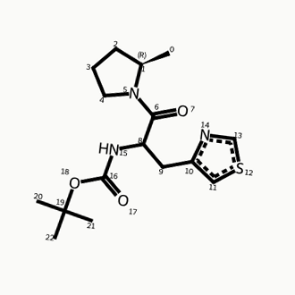 C[C@@H]1CCCN1C(=O)C(Cc1cscn1)NC(=O)OC(C)(C)C